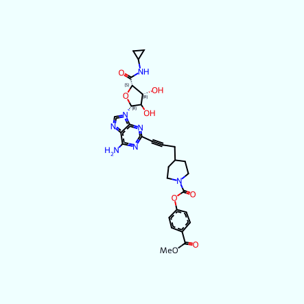 COC(=O)c1ccc(OC(=O)N2CCC(CC#Cc3nc(N)c4ncn([C@@H]5O[C@H](C(=O)NC6CC6)[C@H](O)C5O)c4n3)CC2)cc1